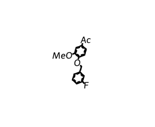 COc1cc(C(C)=O)ccc1OCc1cccc(F)c1